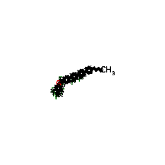 CCCCCC1CCC(c2ccc(-c3ccc(C4CCC(C(F)(F)Oc5cc(F)c(C(F)(F)F)c(F)c5)CC4)c(F)c3)c(F)c2)CC1